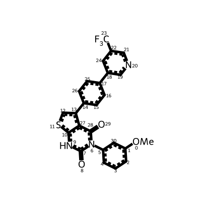 COc1cccc(-n2c(=O)[nH]c3scc(-c4ccc(-c5cncc(C(F)(F)F)c5)cc4)c3c2=O)c1